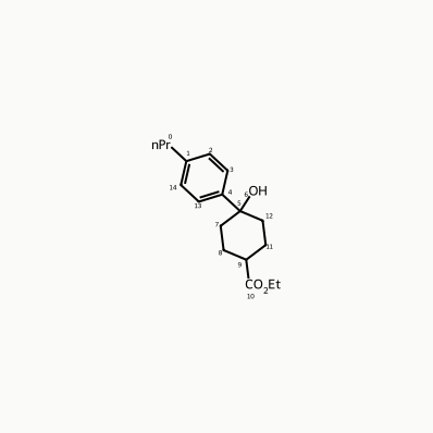 CCCc1ccc(C2(O)CCC(C(=O)OCC)CC2)cc1